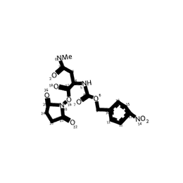 CNC(=O)CC(NC(=O)OCc1ccc([N+](=O)[O-])cc1)C(=O)ON1C(=O)CCC1=O